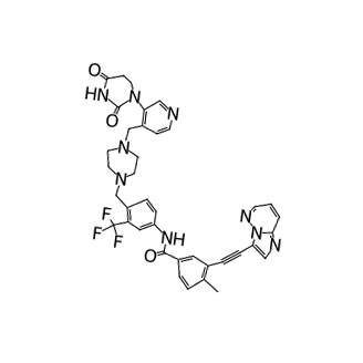 Cc1ccc(C(=O)Nc2ccc(CN3CCN(Cc4ccncc4N4CCC(=O)NC4=O)CC3)c(C(F)(F)F)c2)cc1C#Cc1cnc2cccnn12